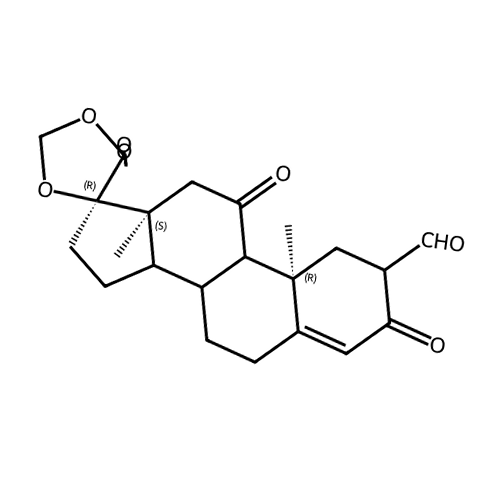 C[C@]12CC(C=O)C(=O)C=C1CCC1C2C(=O)C[C@@]2(C)C1CC[C@@]21OCOC12COCO2